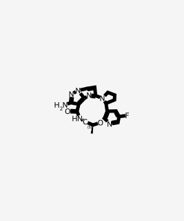 C[C@H]1CNC(=O)c2c(N)nn3ccc(nc23)N2CCCC2c2cc(F)cnc2O1